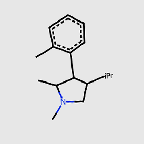 Cc1ccccc1C1C(C(C)C)CN(C)C1C